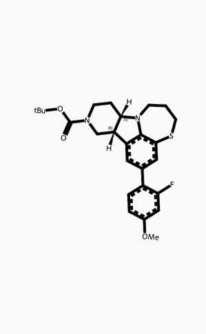 COc1ccc(-c2cc3c4c(c2)[C@@H]2CN(C(=O)OC(C)(C)C)CC[C@@H]2N4CCCS3)c(F)c1